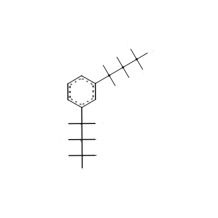 FC(F)(F)C(F)(F)C(F)(F)C(F)(F)c1[c]ccc(C(F)(F)C(F)(F)C(F)(F)C(F)(F)F)c1